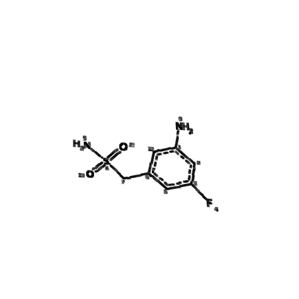 Nc1cc(F)cc(CS(N)(=O)=O)c1